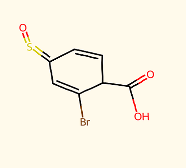 O=S=C1C=CC(C(=O)O)C(Br)=C1